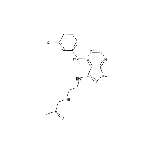 CC(=O)CNCCNc1n[nH]c2ncnc(Nc3cccc(Cl)c3)c12